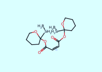 B[SiH2]C1(OC(=O)/C=C\C(=O)OC2([SiH2]B)CCCCO2)CCCCO1